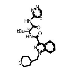 CC(C)(C)[C@H](NC(=O)c1nn(CC2CCOCC2)c2ccccc12)C(=O)Nc1nncs1